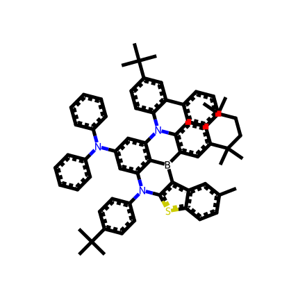 Cc1ccc2sc3c(c2c1)B1c2cc4c(cc2N(c2ccc(C(C)(C)C)cc2-c2ccccc2)c2cc(N(c5ccccc5)c5ccccc5)cc(c21)N3c1ccc(C(C)(C)C)cc1)C(C)(C)CCC4(C)C